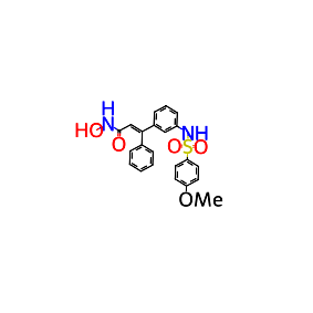 COc1ccc(S(=O)(=O)Nc2cccc(C(=CC(=O)NO)c3ccccc3)c2)cc1